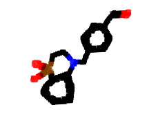 O=[C]c1ccc(CN2CCS(=O)(=O)c3ccccc32)cc1